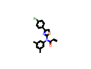 C=CC(=O)N(c1cc(C)cc(C)c1)c1nc(-c2ccc(Br)cc2)cs1